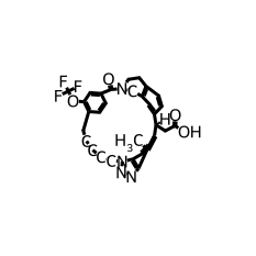 Cc1c2ccc3c1nnn3CCCCCc1ccc(cc1OC(F)(F)F)C(=O)N1CCc3ccc(cc3C1)[C@@H]2CC(=O)O